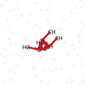 C#CC#CC#CC#CC#CC#CC#CC#CCC(=O)Oc1cc2c(O)c(c1)/C=N/C1CCCCC1/N=C/c1cc(CC(=O)OC#CC#CC#CC#CC#CC#CC#CC#C)cc(c1O)/C=N/C1CCCCC1/N=C/c1cc(CC(=O)OC#CC#CC#CC#CC#CC#CC#CC#C)cc(c1O)/C=N/C1CCCCC1/N=C/2